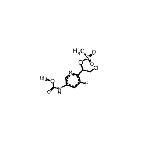 CC(C)(C)OC(=O)Nc1cnc(C(CCl)OS(C)(=O)=O)c(F)c1